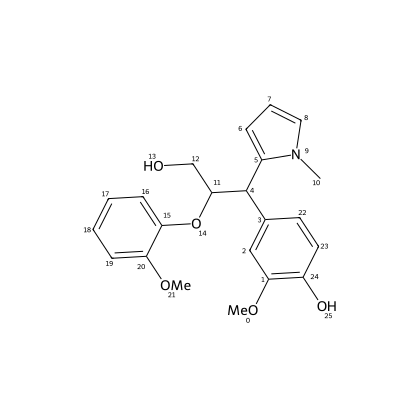 COc1cc(C(c2cccn2C)C(CO)Oc2ccccc2OC)ccc1O